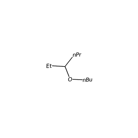 CCCCOC(CC)CCC